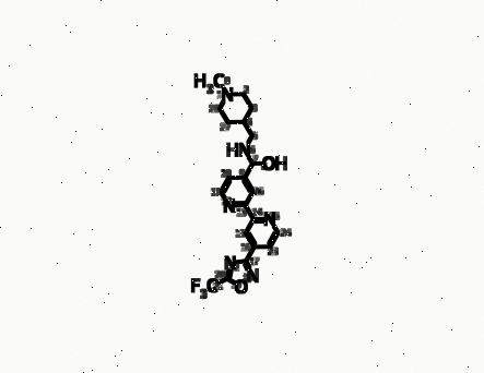 CN1CCC(CNC(O)c2ccnc(-c3cc(-c4noc(C(F)(F)F)n4)ccn3)c2)CC1